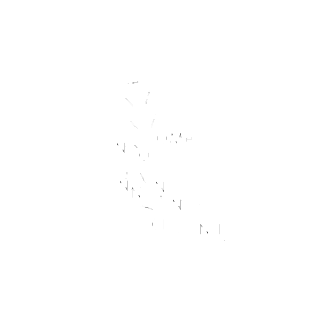 COc1cc2ccccc2cc1C(=O)N1CCCCC1c1cc2nc(N3CCC(N)C3)c(C)cn2n1